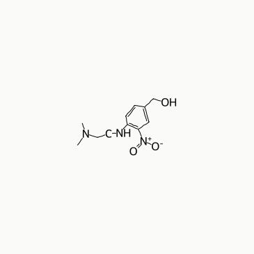 CN(C)CCNc1ccc(CO)cc1[N+](=O)[O-]